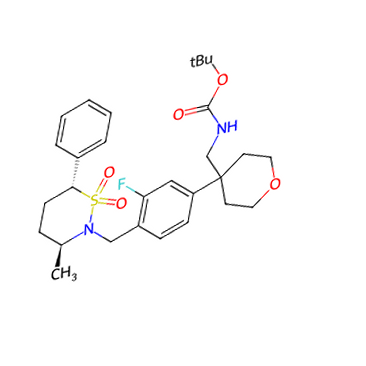 C[C@H]1CC[C@H](c2ccccc2)S(=O)(=O)N1Cc1ccc(C2(CNC(=O)OC(C)(C)C)CCOCC2)cc1F